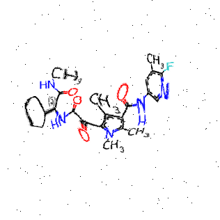 CNC(=O)[C@@H](NC(=O)C(=O)c1c(C)c(C(=O)Nc2cnc(F)c(C)c2)c(C)n1C)C1CCCC1